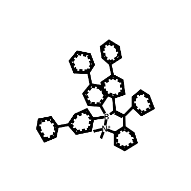 C[N+]1(C)c2ccccc2C(c2ccccc2)=C(c2ccc(-c3ccccc3)cc2)[B-]1(c1ccc(-c2ccccc2)cc1)c1ccc(-c2ccccc2)cc1